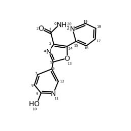 NC(=O)c1nc(-c2ccc(O)nc2)oc1-c1ccccn1